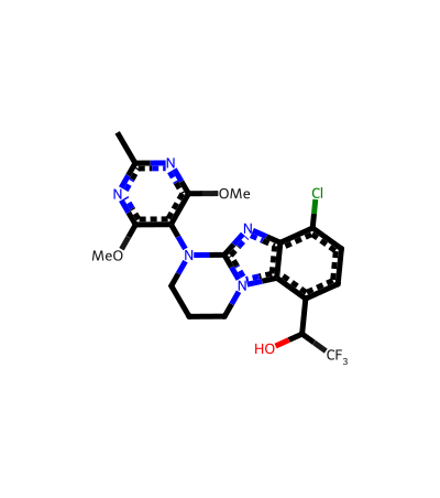 COc1nc(C)nc(OC)c1N1CCCn2c1nc1c(Cl)ccc(C(O)C(F)(F)F)c12